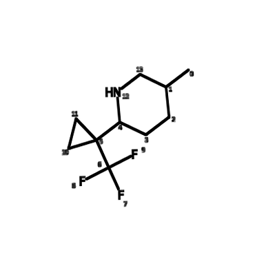 CC1CCC(C2(C(F)(F)F)CC2)NC1